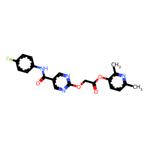 Cc1ccc(OC(=O)COc2ncc(C(=O)Nc3ccc(F)cc3)cn2)c(C)n1